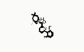 CC1(C)C[C@@H]2C[C@@](C)(CN2C(=O)c2cccc(-c3c(F)cccc3F)n2)C1